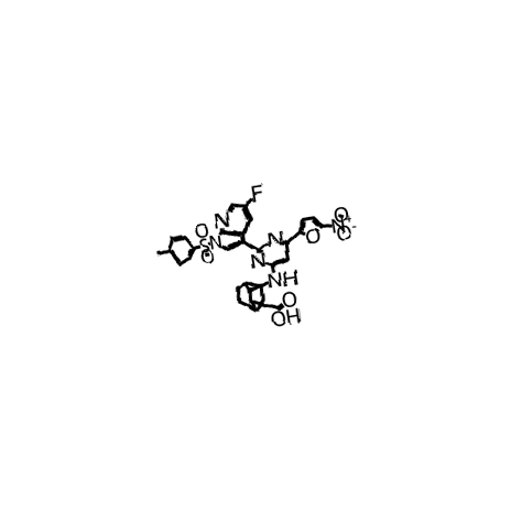 Cc1ccc(S(=O)(=O)n2cc(-c3nc(NC4C5CCC(CC5)C4C(=O)O)cc(-c4ccc([N+](=O)[O-])o4)n3)c3cc(F)cnc32)cc1